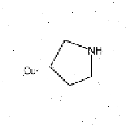 C1CCNC1.[Cu]